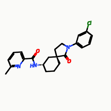 Cc1cccc(C(=O)N[C@H]2CCC[C@]3(CCN(c4cccc(Cl)c4)C3=O)C2)n1